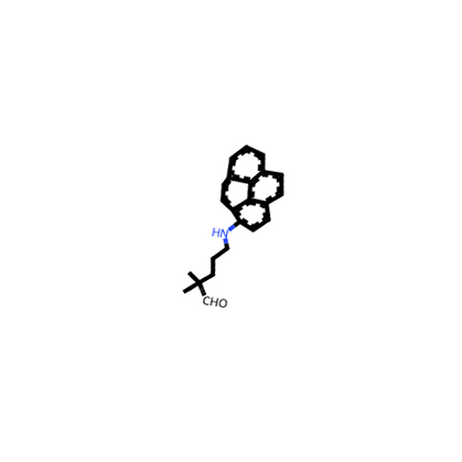 CC(C)(C=O)CCCNc1ccc2ccc3cccc4ccc1c2c34